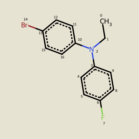 CCN(c1ccc(F)cc1)c1ccc(Br)cc1